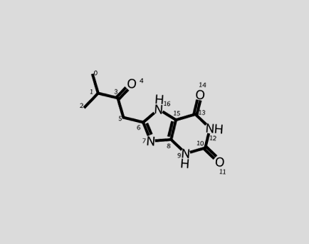 CC(C)C(=O)Cc1nc2[nH]c(=O)[nH]c(=O)c2[nH]1